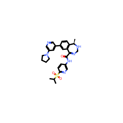 CC(C)S(=O)(=O)c1ccc(NC(=O)C2=NCN[C@H](C)c3ccc(-c4cncc(N5CCCC5)c4)cc32)cn1